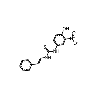 O=[N+]([O-])c1cc(NC(=S)NC=Cc2ccccc2)ccc1O